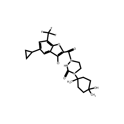 CC1(O)CCC(C)(N2CCN(C(=O)c3oc4c(C(F)(F)F)cc(C5CC5)cc4c3Cl)NC2=O)CC1